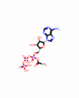 CC(=O)OP(=O)(OC[C@H]1O[C@@H](n2cnc3c(N)ncnc32)[C@H](O)[C@@H]1O)OP(=O)(O)OP(=O)(O)O